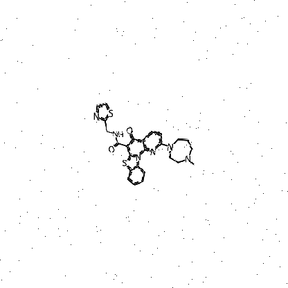 CN1CCCN(c2ccc3c(=O)c(C(=O)NCc4nccs4)c4sc5ccccc5n4c3n2)CC1